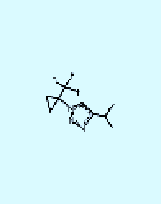 CC(C)c1cn(C2(C(F)(F)F)CC2)nn1